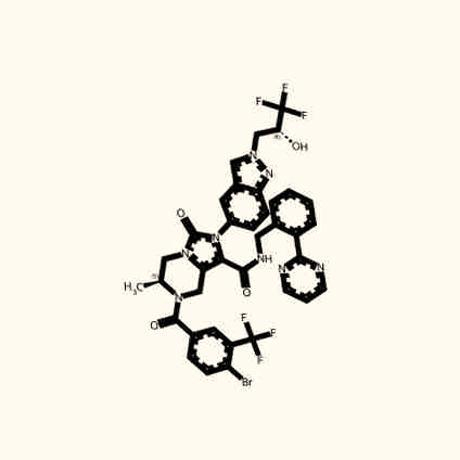 C[C@H]1Cn2c(c(C(=O)NCc3ccccc3-c3ncccn3)n(-c3ccc4nn(C[C@@H](O)C(F)(F)F)cc4c3)c2=O)CN1C(=O)c1ccc(Br)c(C(F)(F)F)c1